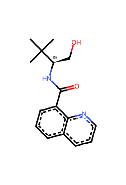 CC(C)(C)[C@@H](CO)NC(=O)c1cccc2cccnc12